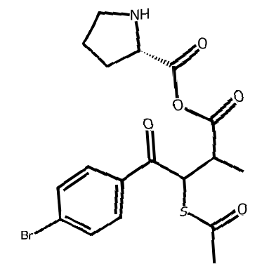 CC(=O)SC(C(=O)c1ccc(Br)cc1)C(C)C(=O)OC(=O)[C@@H]1CCCN1